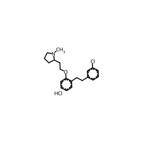 CN1CCCC1CCOc1ccccc1CCc1cccc(Cl)c1.Cl